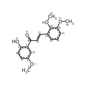 COc1ccc(O)c(C(=O)C=Cc2cccc(OC)c2OC)c1